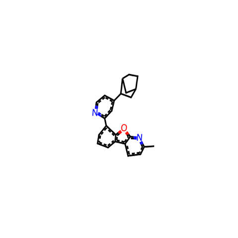 Cc1ccc2c(n1)oc1c(-c3cc(C4CC5CCC4C5)ccn3)cccc12